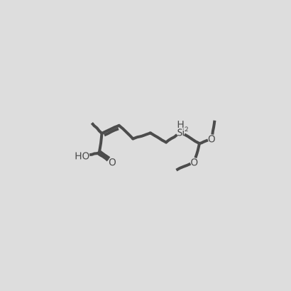 COC(OC)[SiH2]CCCC=C(C)C(=O)O